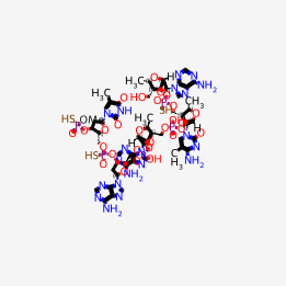 COP(=O)(S)OC1C[C@H](n2cc(C)c(=O)[nH]c2=O)O[C@@H]1COP(=O)(S)OC1C[C@H](n2cnc3c(N)ncnc32)O[C@@H]1COP(=O)(O)OC1[C@@H]2O[C@@H](C)[C@]1(COP(=O)(O)OC1[C@@H]3O[C@@H](C)[C@]1(COP(=O)(S)OC1[C@@H]4O[C@@H](C)[C@]1(CO)O[C@H]4n1cnc4c(N)ncnc41)O[C@H]3n1cc(C)c(N)nc1=O)O[C@H]2n1cnc2c(N)ncnc21